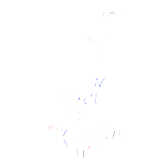 Cc1ccc(-c2ccc3c(=O)n(CC[C@](C)(C(=O)NO)S(C)(=O)=O)nnc3c2)cc1